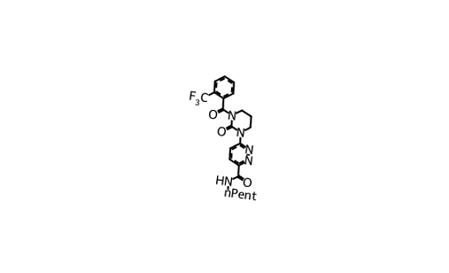 CCCCCNC(=O)c1ccc(N2CCCN(C(=O)c3ccccc3C(F)(F)F)C2=O)nn1